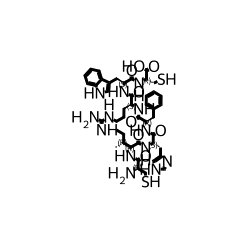 CC[C@@H](C)[C@@H](NC(=O)[C@@H](N)CS)C(=O)N[C@@H](Cc1c[nH]cn1)C(=O)N[C@H](Cc1ccccc1)C(=O)N[C@@H](CCCNC(=N)N)C(=O)N[C@@H](Cc1c[nH]c2ccccc12)C(=O)N[C@@H](CS)C(=O)O